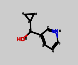 OC(c1cccnc1)C1CC1